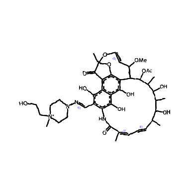 COC1/C=C/OC2(C)Oc3c4c(O)c5c(O)c(c(/C=N/N6CC[N+](C)(CCO)CC6)c(O)c5c3C2=O)NC(=O)/C(C)=C\C=C\C(C)C(O)C(C)C(O)C(C)C(OC(C)=O)C41C